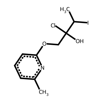 Cc1cccc(OCC(O)(Cl)C(C)I)n1